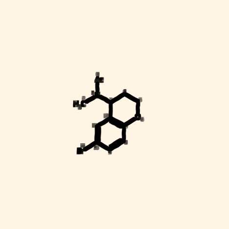 CC(=O)N(C)C1CCOc2ccc(Br)cc21